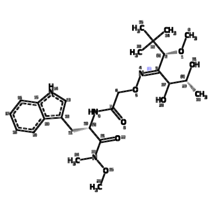 CO[C@H](/C(=N/OCC(=O)N[C@@H](Cc1c[nH]c2ccccc12)C(=O)N(C)OC)C(O)[C@@H](C)O)C(C)(C)C